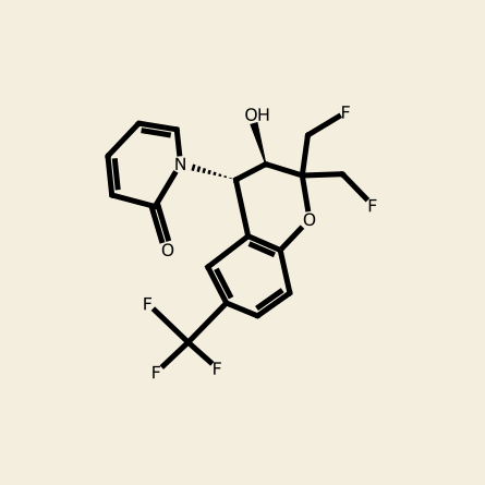 O=c1ccccn1[C@H]1c2cc(C(F)(F)F)ccc2OC(CF)(CF)[C@@H]1O